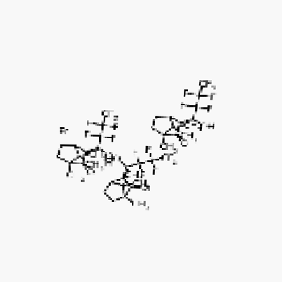 CC1(C)C2CC[C@@]1(C)C(=O)/C2=C(/O)C(F)(F)C(F)(F)C(F)(F)F.CC1(C)C2CC[C@@]1(C)C(=O)/C2=C(\O)C(F)(F)C(F)(F)C(F)(F)F.CC1(C)C2CC[C@@]1(C)C(=O)/C2=C(\O)C(F)(F)C(F)(F)C(F)(F)F.[Pr]